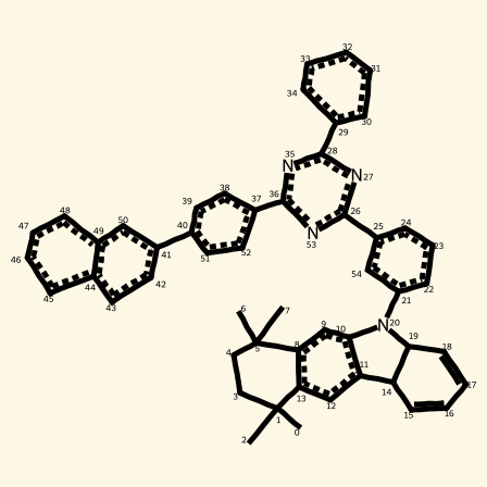 CC1(C)CCC(C)(C)c2cc3c(cc21)C1C=CC=CC1N3c1cccc(-c2nc(-c3ccccc3)nc(-c3ccc(-c4ccc5ccccc5c4)cc3)n2)c1